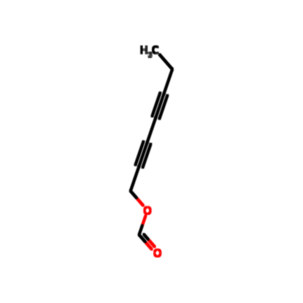 CCC#CC#CCOC=O